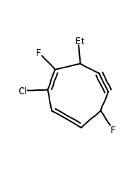 CCC1C#CC(F)/C=C\C(Cl)=C/1F